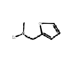 CCN(C)Cc1ccco1